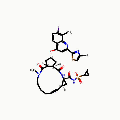 Cc1c(I)ccc2c(O[C@@H]3C[C@H]4C(=O)N[C@]5(C(=O)NS(=O)(=O)C6CC6)C[C@H]5/C=C\CCCCN(C)C(=O)[C@@H]4C3)cc(-c3nc(C(C)C)cs3)nc12